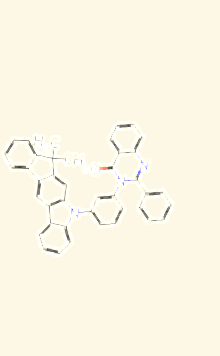 CC1(C)c2ccccc2-c2cc3c4ccccc4n(-c4cccc(-n5c(-c6ccccc6)nc6ccccc6c5=O)c4)c3cc21